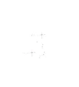 CC(C)CCCC(C)CO.CCCCCC(C)(C)O.CCCCCCC(C)(C)O